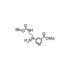 COC(=O)c1cncc(N(N)CCNC(=O)OC(C)(C)C)c1